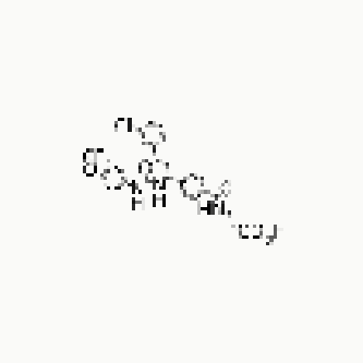 O=C(O)CCNC(=O)c1ccc(C(CCc2cccc(Cl)c2)NC(=O)Nc2ccc(OC(F)(F)F)cc2)cc1